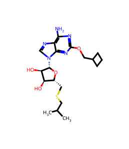 CC(C)CSC[C@H]1O[C@@H](n2cnc3c(N)nc(OCC4CCC4)nc32)[C@H](O)[C@@H]1O